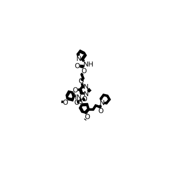 COc1ccc(Oc2c(NS(=O)(=O)c3ccc(OC)c(CCC(=O)N4CCCCC4)c3)ncnc2OCCOC(=O)Nc2ccccn2)cc1